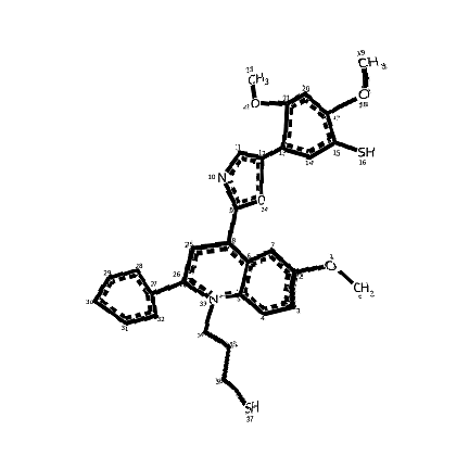 COc1ccc2c(c1)c(-c1ncc(-c3cc(S)c(OC)cc3OC)o1)cc(-c1ccccc1)[n+]2CCCS